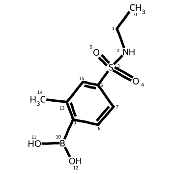 CCNS(=O)(=O)c1ccc(B(O)O)c(C)c1